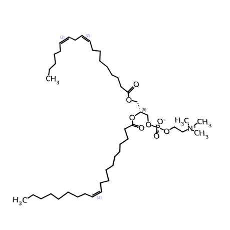 CCCCC/C=C\C/C=C\CCCCCCCC(=O)OC[C@H](COP(=O)([O-])OCC[N+](C)(C)C)OC(=O)CCCCCCCCC/C=C\CCCCCCCC